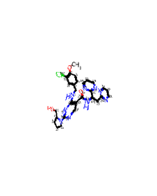 COc1ccc(CNc2nc(N3CCCC3CO)ncc2C(=O)NC(Cc2ncccn2)c2ncccn2)cc1Cl